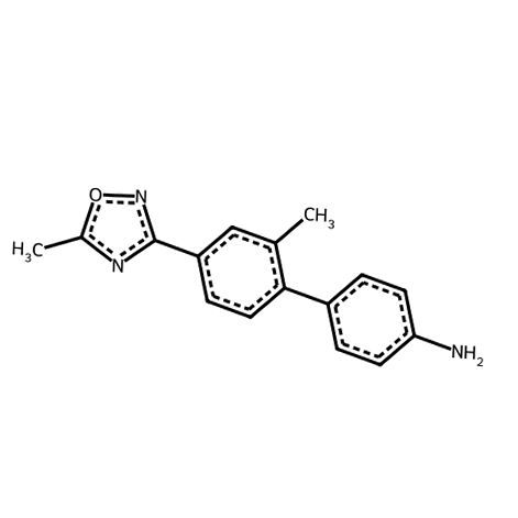 Cc1nc(-c2ccc(-c3ccc(N)cc3)c(C)c2)no1